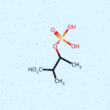 CC(OP(=O)(O)O)C(C)C(=O)O